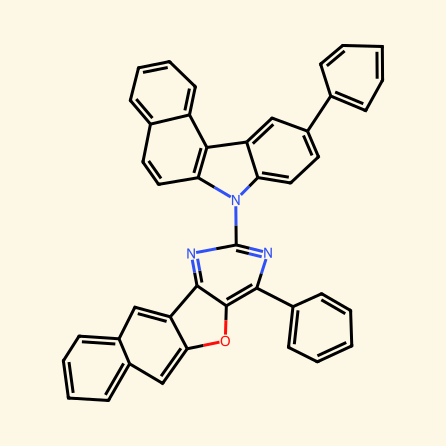 c1ccc(-c2ccc3c(c2)c2c4ccccc4ccc2n3-c2nc(-c3ccccc3)c3oc4cc5ccccc5cc4c3n2)cc1